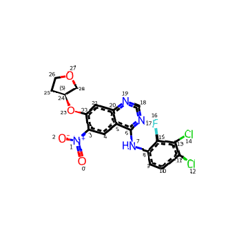 O=[N+]([O-])c1cc2c(Nc3ccc(Cl)c(Cl)c3F)ncnc2cc1O[C@H]1CCOC1